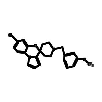 FC(F)(F)Oc1cccc(CN2CCC3(CC2)Oc2cc(Cl)ccc2-n2cccc23)c1